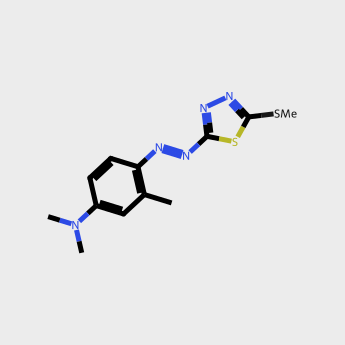 CSc1nnc(N=Nc2ccc(N(C)C)cc2C)s1